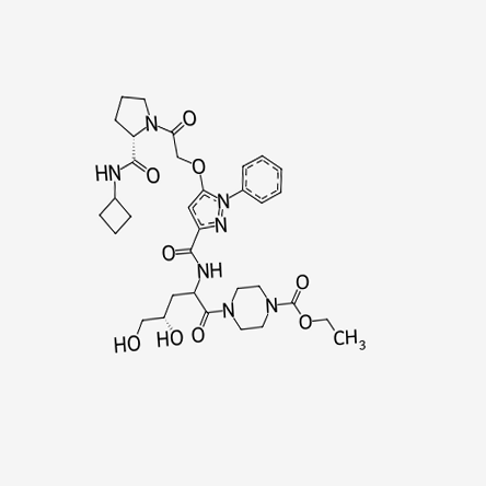 CCOC(=O)N1CCN(C(=O)C(C[C@H](O)CO)NC(=O)c2cc(OCC(=O)N3CCC[C@H]3C(=O)NC3CCC3)n(-c3ccccc3)n2)CC1